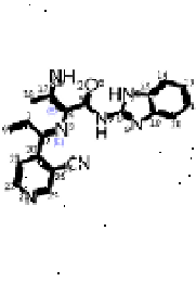 C=C/C(=N\C(C(=O)Nc1nc2ccccc2[nH]1)=C(/C)N)c1ccncc1C#N